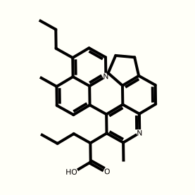 CCCc1ccnc2c(-c3c(C(CCC)C(=O)O)c(C)nc4ccc5c(c34)CCC5)ccc(C)c12